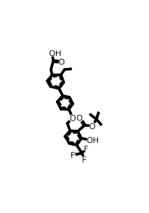 CCc1cc(-c2ccc(OCc3ccc(C(F)(F)F)c(O)c3C(=O)OC(C)(C)C)cc2)ccc1CC(=O)O